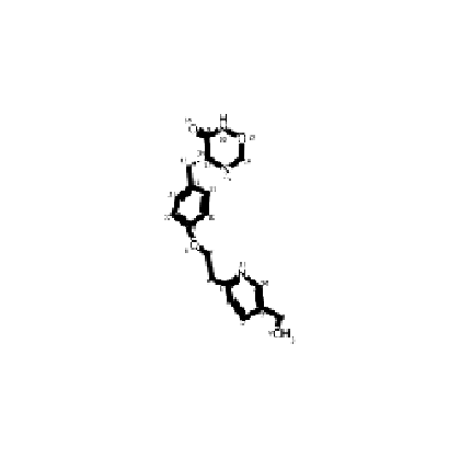 CCc1ccc(CCOc2ccc(C[C@H]3SCONC3=O)cc2)nc1